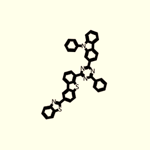 c1ccc(-c2nc(-c3ccc4c5ccccc5n(-c5ccccc5)c4c3)nc(-c3cccc4c3sc3ccc(-c5nc6ccccc6s5)cc34)n2)cc1